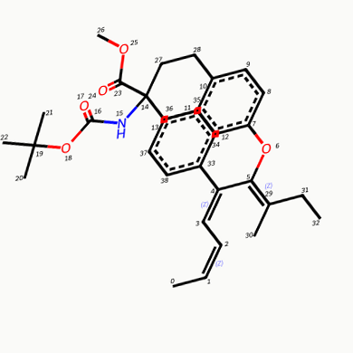 C\C=C/C=C(\C(Oc1ccc2c(c1)CC(NC(=O)OC(C)(C)C)(C(=O)OC)CC2)=C(/C)CC)c1ccccc1